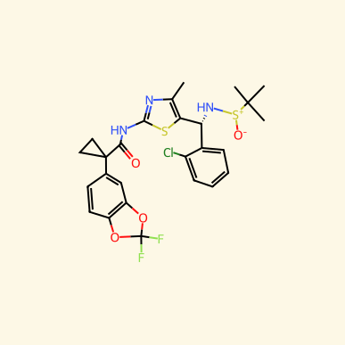 Cc1nc(NC(=O)C2(c3ccc4c(c3)OC(F)(F)O4)CC2)sc1[C@H](N[S+]([O-])C(C)(C)C)c1ccccc1Cl